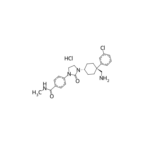 CNC(=O)c1ccc(N2CCN([C@H]3CC[C@@](CN)(c4cccc(Cl)c4)CC3)C2=O)cc1.Cl